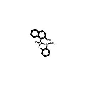 NNc1ccccc1OS(=O)(=O)c1c(O)ccc2ccccc12